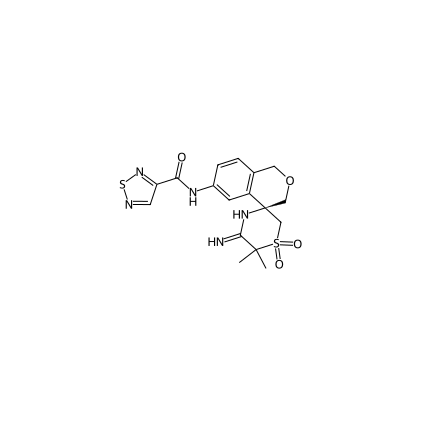 CC1(C)C(=N)N[C@@]2(COCc3ccc(NC(=O)c4cnsn4)cc32)CS1(=O)=O